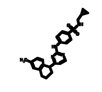 Cc1ccc2c(c1)CCCC2c1ccnc(Nc2ccc(S(=O)(=O)NCC3CC3)cc2)n1